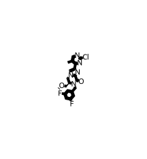 COC[C@H]1Cn2cc(-c3nc(Cl)ncc3C)nc2C(=O)N1Cc1cc(F)cc(F)c1